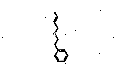 CC=CCOCCc1ccccc1